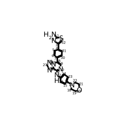 Nc1nc(-c2ccc(-c3cnc(Nc4ccc(N5CCOCC5)cc4)c4ncnn34)cc2)cs1